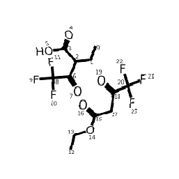 CCC(C(=O)O)C(=O)C(F)(F)F.CCOC(=O)CC(=O)C(F)(F)F